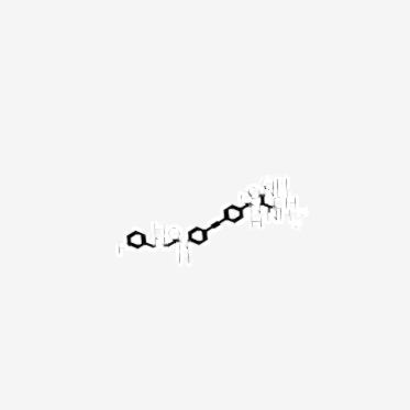 C[C@@H](N)[C@H](NC(=O)c1ccc(C#Cc2ccc(NC(=O)CNCc3cccc(F)c3)cc2)cc1)C(=O)NO